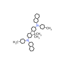 Cc1ccc(N(c2ccc3c(c2)C(C)(C)c2cc(N(c4ccc(C)cc4)c4ccc5ccccc5c4)ccc2-3)c2ccc3ccccc3c2)cc1